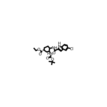 CCOC(=O)[C@@H]1CCC(NC(=O)c2cc3cc(Cl)ccc3[nH]2)C(NC(=O)OC(C)(C)C)C1